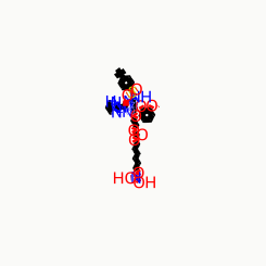 C=C(/N=C(OCCOC(=O)OCCCCCCON(O)O)\C(Oc1ccccc1OC)=C(/N)NS(=O)(=O)c1ccc(C(C)(C)C)cc1)c1ncccn1